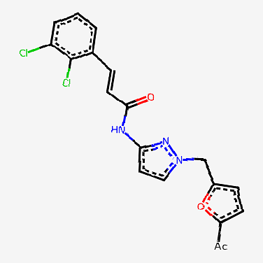 CC(=O)c1ccc(Cn2ccc(NC(=O)C=Cc3cccc(Cl)c3Cl)n2)o1